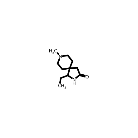 CCC1NC(=O)CC12CCN(C)CC2